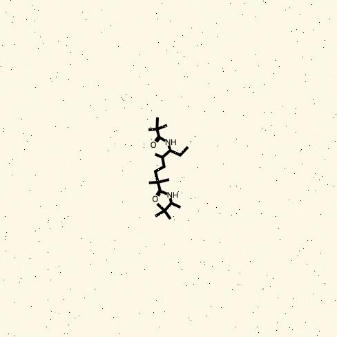 CCC(NC(=O)C(C)(C)C)C(C)CCC(C)(C)C(=O)NC(C)C(C)(C)C